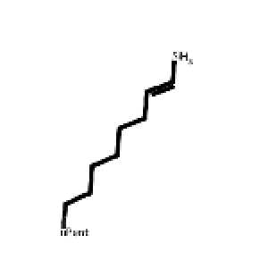 CCCCCCCCCCCC=C[SiH3]